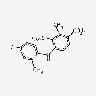 Cc1cc(F)ccc1Nc1ccc(C(=O)O)c(C)c1C(=O)O